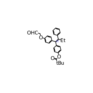 CC/C(=C(/c1ccc(OCC=O)cc1)c1ccc(OC(=O)C(C)(C)C)cc1)c1ccccc1